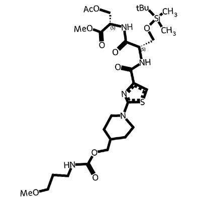 COCCCNC(=O)OCC1CCN(c2nc(C(=O)N[C@@H](CO[Si](C)(C)C(C)(C)C)C(=O)N[C@@H](COC(C)=O)C(=O)OC)cs2)CC1